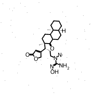 C[C@]1([C@H](CCN([N])C(N)=NO)C2=CC(=O)OC2)CCC2C(CC[C@@H]3CCCC[C@]23C)C1=O